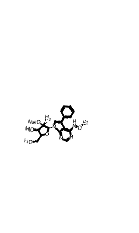 CCONc1ncnc2c1c(-c1ccccc1)cn2[C@@H]1OC(CO)C(O)[C@@]1(C)OC